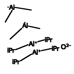 C[CH](C)[Al+][CH](C)C.C[CH](C)[Al+][CH](C)C.[CH3][Al][CH3].[CH3][Al][CH3].[O-2]